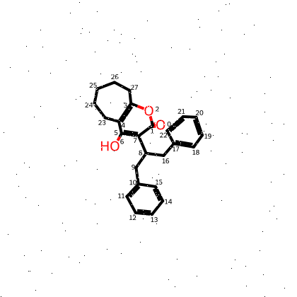 O=c1oc2c(c(O)c1C(Cc1ccccc1)Cc1ccccc1)CCCCC2